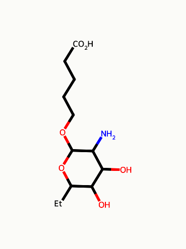 CCC1OC(OCCCCC(=O)O)C(N)C(O)C1O